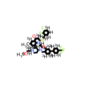 [2H]c1c([2H])c(F)c(F)c(C([2H])([2H])Sc2c([2H])c(=O)c3c([2H])c(C)c([2H])c([2H])c3n2C([2H])([2H])C(=O)N(Cc2c([2H])c([2H])c(-c3c([2H])c([2H])c(C(F)(F)F)c([2H])c3[2H])c([2H])c2[2H])C2CCN(C([2H])([2H])COC)CC2)c1[2H]